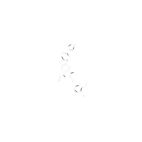 COc1ccc(CCNC(=O)C2CN(C3(Cl)C=CNC(n4ccnc4)=N3)CCN2C(=O)CC(C)C)cc1OC